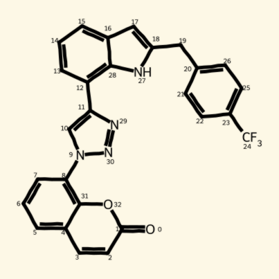 O=c1ccc2cccc(-n3cc(-c4cccc5cc(Cc6ccc(C(F)(F)F)cc6)[nH]c45)nn3)c2o1